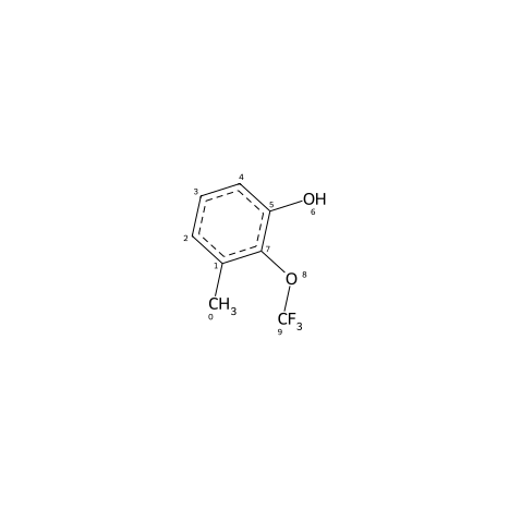 Cc1cccc(O)c1OC(F)(F)F